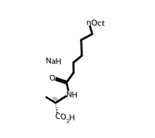 CCCCCCCCCCCCCC(=O)N[C@@H](C)C(=O)O.[NaH]